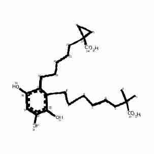 CC(C)(CCCCCCc1c(O)c(O)cc(O)c1CCCCCC1(C(=O)O)CC1)C(=O)O